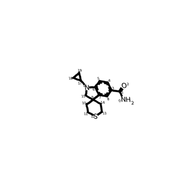 NC(=O)c1ccc2c(c1)C1(CCSCC1)CN2C1CC1